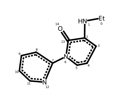 CCNc1cccn(-c2ccccn2)c1=O